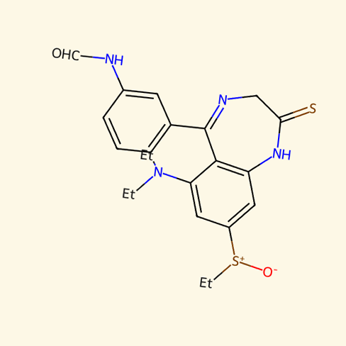 CCN(CC)c1cc([S+]([O-])CC)cc2c1C(c1cccc(NC=O)c1)=NCC(=S)N2